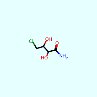 NC(=O)C(O)C(O)CCl